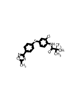 Cc1nc(-c2ccc(Sc3ccc(NC(=O)[C@@](C)(O)C(F)(F)F)c(Cl)c3)cc2)no1